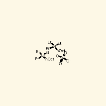 CCCCCCCC[N+](CC)(CC)CC.CCCCCCCC[N+](CC)(CC)CC.O=S(=O)([O-])[O-]